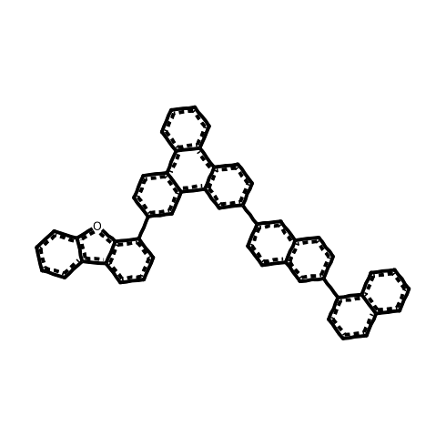 c1ccc2c(-c3ccc4cc(-c5ccc6c7ccccc7c7ccc(-c8cccc9c8oc8ccccc89)cc7c6c5)ccc4c3)cccc2c1